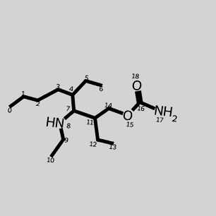 CCCCC(CC)C(NCC)C(CC)COC(N)=O